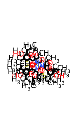 CCCOC(=O)C(CCC)(C(OC(=S)CC)c1cc(C(C)(C)C)c(O)c(C(C)(C)C)c1)n1c(=O)n(C(CCC)(C(=O)OCCC)C(OC(=S)CC)c2cc(C(C)(C)C)c(O)c(C(C)(C)C)c2)c(=O)n(C(CCC)(C(=O)OCCC)C(OC(=S)CC)c2cc(C(C)(C)C)c(O)c(C(C)(C)C)c2)c1=O